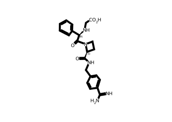 N=C(N)c1ccc(CNC(=O)[C@@H]2CCN2C(=O)[C@H](NCC(=O)O)c2ccccc2)cc1